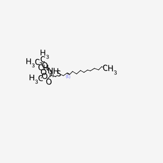 CCCCCCCCCC/C=C/CSC[C@H](NC(=O)OC(C)(C)C)C(=O)OC